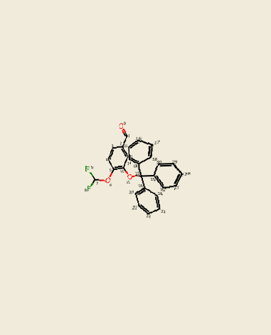 O=Cc1ccc(OC(F)F)c(OC(c2ccccc2)(c2ccccc2)c2ccccc2)c1